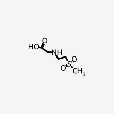 CS(=O)(=O)CCNCC(=O)O